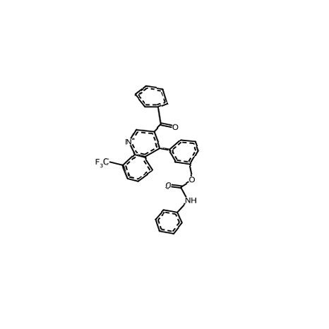 O=C(Nc1ccccc1)Oc1cccc(-c2c(C(=O)c3ccccc3)cnc3c(C(F)(F)F)cccc23)c1